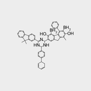 Bc1c(O)c(C2N=C(c3ccc4c(c3)C(C)(C)c3ccccc3-4)NC(c3ccc(C4C=CC=CC4)cc3)N2)cc2c1-c1c(c(C)c(O)c(B)c1-c1ccccc1)C2